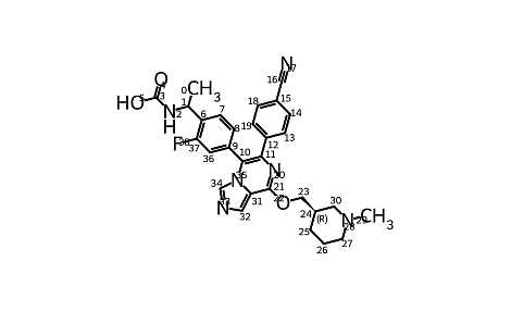 CC(NC(=O)O)c1ccc(-c2c(-c3ccc(C#N)cc3)nc(OC[C@@H]3CCCN(C)C3)c3cncn23)cc1F